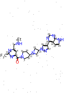 CCNCc1cc(C(=O)N2CCC(N3CC(n4cc(-c5ncnc6[nH]ccc56)cn4)C3)CC2)nc(C(F)(F)F)n1